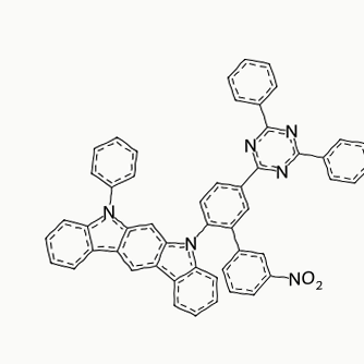 O=[N+]([O-])c1cccc(-c2cc(-c3nc(-c4ccccc4)nc(-c4ccccc4)n3)ccc2-n2c3ccccc3c3cc4c5ccccc5n(-c5ccccc5)c4cc32)c1